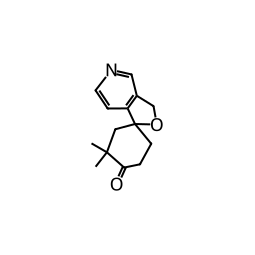 CC1(C)CC2(CCC1=O)OCc1cnccc12